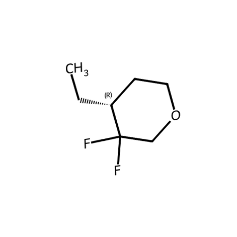 CC[C@@H]1CCOCC1(F)F